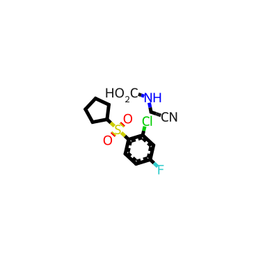 N#CCNC(=O)O.O=S(=O)(c1ccc(F)cc1Cl)C1CCCC1